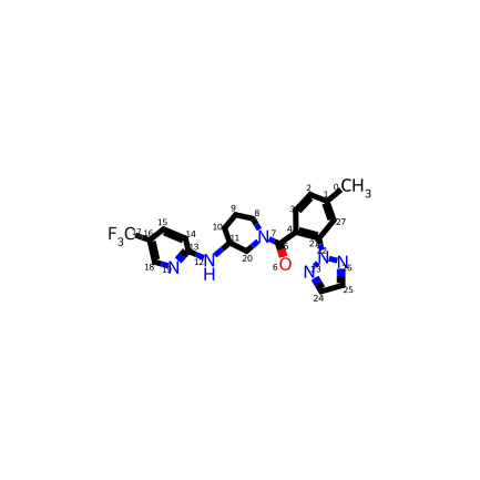 Cc1ccc(C(=O)N2CCCC(Nc3ccc(C(F)(F)F)cn3)C2)c(-n2nccn2)c1